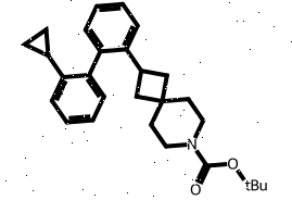 CC(C)(C)OC(=O)N1CCC2(CC1)CC(c1ccccc1-c1ccccc1C1CC1)C2